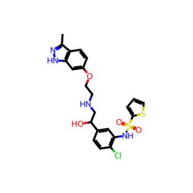 Cc1n[nH]c2cc(OCCNCC(O)c3ccc(Cl)c(NS(=O)(=O)c4cccs4)c3)ccc12